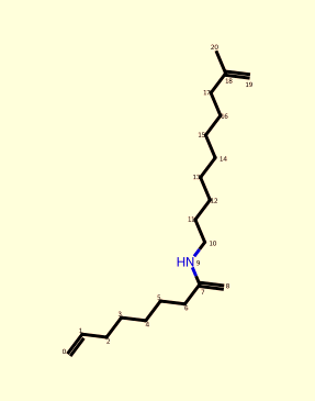 C=CCCCCCC(=C)NCCCCCCCCC(=C)C